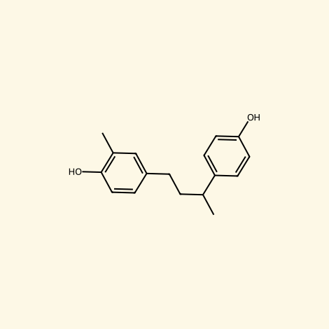 Cc1cc(CCC(C)c2ccc(O)cc2)ccc1O